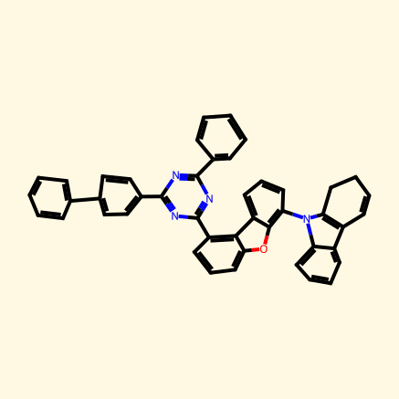 C1=Cc2c(n(-c3cccc4c3oc3cccc(-c5nc(-c6ccccc6)nc(-c6ccc(-c7ccccc7)cc6)n5)c34)c3ccccc23)CC1